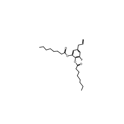 C=CCc1cc(F)c(OC(=O)CCCCCCC)c(OC(=O)CCCCCCC)c1